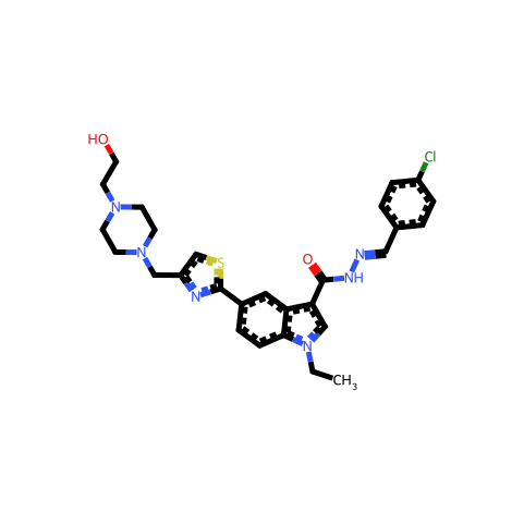 CCn1cc(C(=O)NN=Cc2ccc(Cl)cc2)c2cc(-c3nc(CN4CCN(CCO)CC4)cs3)ccc21